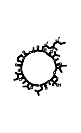 CCC(C)C1NC(=O)C2CCCN2C(=O)CN(C)C(=O)C(C[C@H](C)C[C@H](C)C[C@H](C)CC)NC(=O)C(C(C)C)N(C)C(=O)C(C(C)CC)OC(=O)C(C(C)(C)O)N(C)C(=O)C(CC(C)C)NC(=O)C(C(C)C)C(C)C1=O